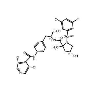 CC1(C(=O)N[C@@H](Cc2ccc(NC(=O)c3c(Cl)cncc3Cl)cc2)C(=O)O)C[C@@H](O)CN1S(=O)(=O)c1cc(Cl)cc(Cl)c1